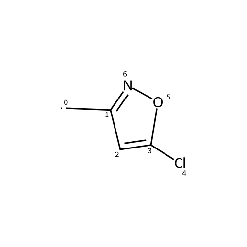 [CH2]c1cc(Cl)on1